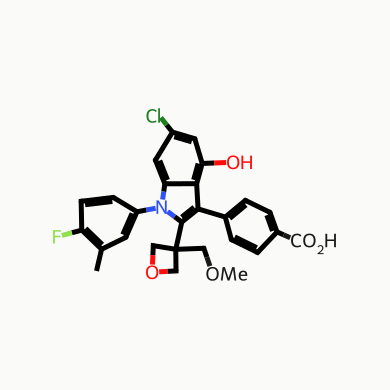 COCC1(c2c(-c3ccc(C(=O)O)cc3)c3c(O)cc(Cl)cc3n2-c2ccc(F)c(C)c2)COC1